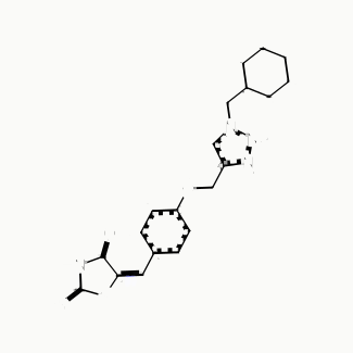 O=C1NC(=S)S/C1=C/c1ccc(OCc2cn(CC3CCCCC3)nn2)cc1